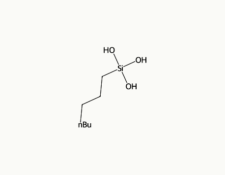 CCCCCCC[Si](O)(O)O